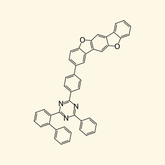 c1ccc(-c2nc(-c3ccc(-c4ccc5oc6cc7c(cc6c5c4)oc4ccccc47)cc3)nc(-c3ccccc3-c3ccccc3)n2)cc1